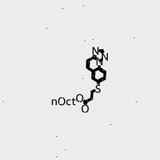 CCCCCCCCOC(=O)CCSc1ccc2c(ccc3ncnn32)c1